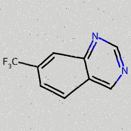 FC(F)(F)c1ccc2cncnc2c1